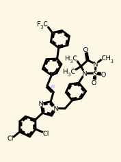 CN1C(=O)C(C)(C)N(c2ccc(Cn3cc(-c4ccc(Cl)cc4Cl)nc3/C=C/c3ccc(-c4cccc(C(F)(F)F)c4)cc3)cc2)S1(=O)=O